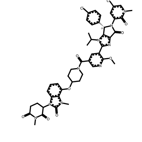 COc1ncc(C(=O)N2CCC(Oc3cccc4c3n(C)c(=O)n4C3CCC(=O)N(C)C3=O)CC2)cc1-c1nc2c(n1C(C)C)[C@H](c1ccc(Cl)cc1)N(c1cc(Cl)cn(C)c1=O)C2=O